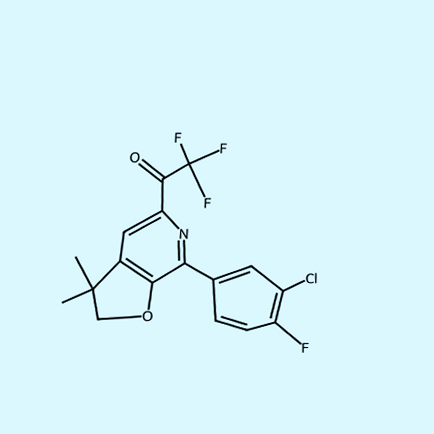 CC1(C)COc2c1cc(C(=O)C(F)(F)F)nc2-c1ccc(F)c(Cl)c1